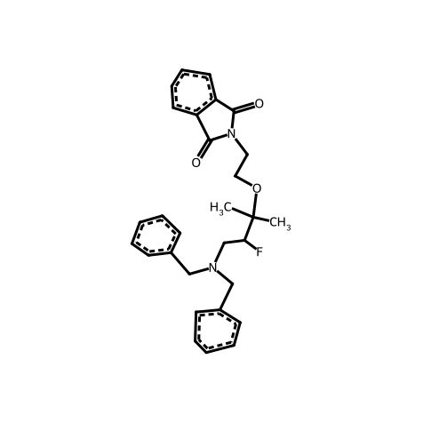 CC(C)(OCCN1C(=O)c2ccccc2C1=O)C(F)CN(Cc1ccccc1)Cc1ccccc1